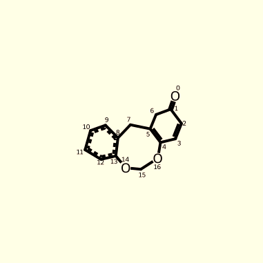 O=C1C=CC2=C(C1)Cc1ccccc1OCO2